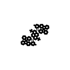 Cc1cccc(N(c2cccc(C3(c4ccccc4)c4ccccc4-c4ccccc43)c2)c2cc(C(C)(C)C)c3ccc4c(N(c5cccc(C)c5)c5cccc(C6(c7ccccc7)c7ccccc7-c7ccccc76)c5)cc(C(C)(C)C)c5ccc2c3c45)c1